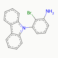 Nc1cccc(-n2c3ccccc3c3ccccc32)c1Br